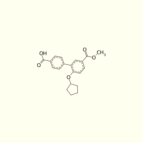 COC(=O)c1ccc(OC2CCCC2)c(-c2ccc(C(=O)O)cc2)c1